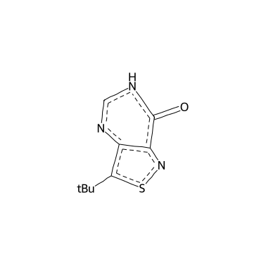 CC(C)(C)c1snc2c(=O)[nH]cnc12